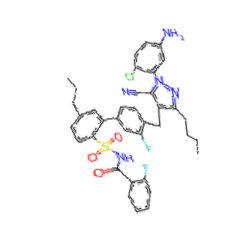 CCCCc1nn(-c2cc(N)ccc2Cl)c(C#N)c1Cc1ccc(-c2cc(CCC)ccc2S(=O)(=O)NC(=O)c2ccccc2F)cc1F